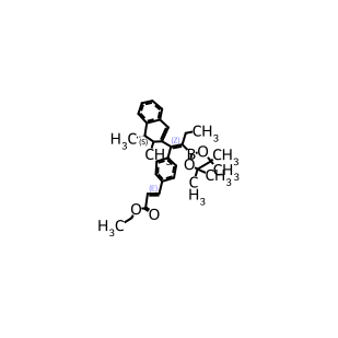 CCOC(=O)/C=C/c1ccc(/C(C2=Cc3ccccc3[C@@H](C)C2C)=C(/CC)B2OC(C)(C)C(C)(C)O2)cc1